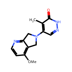 COc1ccnc2c1CN(c1cn[nH]c(=O)c1C)C2